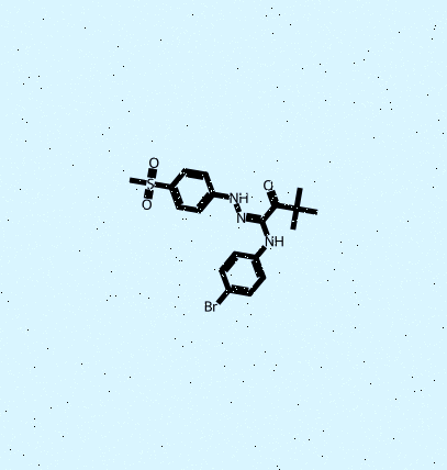 CC(C)(C)C(=O)/C(=N\Nc1ccc(S(C)(=O)=O)cc1)Nc1ccc(Br)cc1